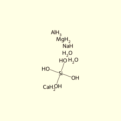 O.O.O[Si](O)(O)O.[AlH3].[CaH2].[MgH2].[NaH]